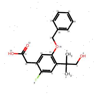 CC(C)(CO)c1cc(F)c(CC(=O)O)cc1OCc1ccccc1